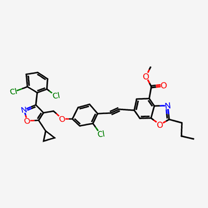 CCCc1nc2c(C(=O)OC)cc(C#Cc3ccc(OCc4c(-c5c(Cl)cccc5Cl)noc4C4CC4)cc3Cl)cc2o1